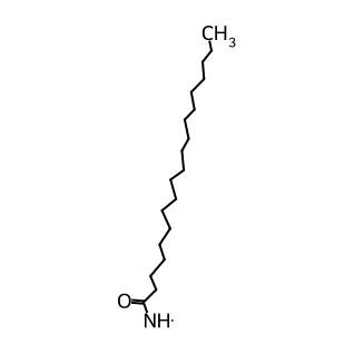 CCCCCCCCCCCCCCCCCCC([NH])=O